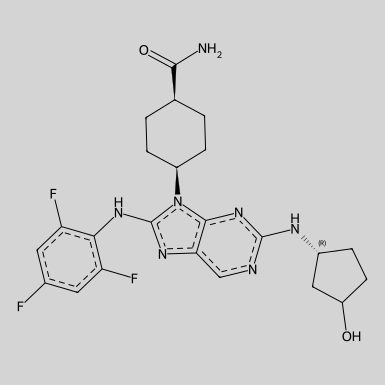 NC(=O)[C@H]1CC[C@@H](n2c(Nc3c(F)cc(F)cc3F)nc3cnc(N[C@@H]4CCC(O)C4)nc32)CC1